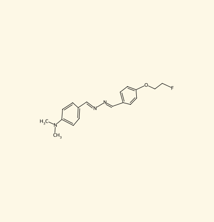 CN(C)c1ccc(/C=N/N=C/c2ccc(OCCF)cc2)cc1